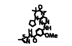 COc1cc(C(=O)Nc2ncc(C)s2)ccc1Nc1ncc2c(n1)N(C1CCCC1)CC(C)(C)C(=O)N2C